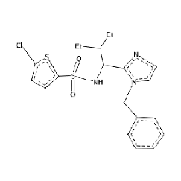 CCC(CC)C(NS(=O)(=O)c1ccc(Cl)s1)c1nccn1Cc1ccccc1